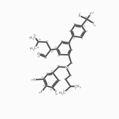 CC(C)CCN(Cc1cc(-c2ccc(C(F)(F)F)cc2)cc(C(C=O)CC(C)C)c1)Cc1cc(F)c(F)c(F)c1